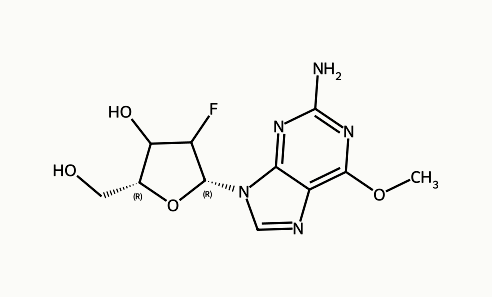 COc1nc(N)nc2c1ncn2[C@@H]1O[C@H](CO)C(O)C1F